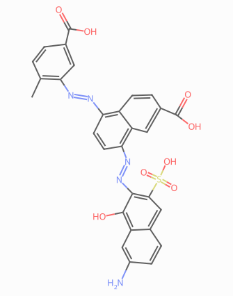 Cc1ccc(C(=O)O)cc1N=Nc1ccc(N=Nc2c(S(=O)(=O)O)cc3ccc(N)cc3c2O)c2cc(C(=O)O)ccc12